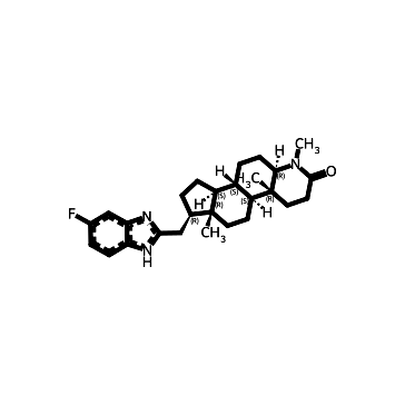 CN1C(=O)CC[C@]2(C)[C@H]3CC[C@]4(C)[C@@H](Cc5nc6cc(F)ccc6[nH]5)CC[C@H]4[C@@H]3CC[C@@H]12